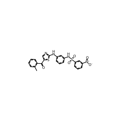 Cc1ccccc1C(=O)c1cnc(Nc2cccc(NS(=O)(=O)c3cccc([N+](=O)[O-])c3)c2)s1